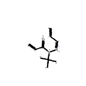 C=C/C=N\N(C(=O)C=C)C(C)(C)C